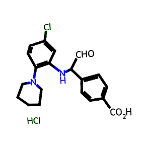 Cl.O=CC(Nc1cc(Cl)ccc1N1CCCCC1)c1ccc(C(=O)O)cc1